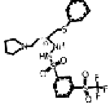 O=S(=O)(NN[C@H](CCN1CCCC1)CSc1ccccc1)c1cccc(S(=O)(=O)C(F)(F)F)c1